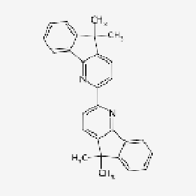 CC1(C)c2ccccc2-c2nc(-c3ccc4c(n3)-c3ccccc3C4(C)C)ccc21